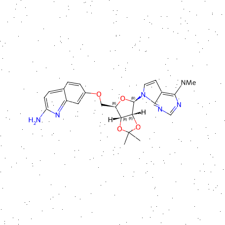 CNc1ncnc2c1ccn2[C@@H]1O[C@H](COc2ccc3ccc(N)nc3c2)[C@H]2OC(C)(C)O[C@H]21